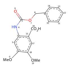 COc1cc(NC(=O)OCc2ccccc2)c(C(=O)O)cc1OC